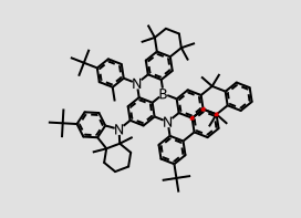 Cc1cc(C(C)(C)C)ccc1N1c2cc3c(cc2B2c4cc5c(cc4N(c4ccc(C(C)(C)C)cc4-c4ccccc4)c4cc(N6c7ccc(C(C)(C)C)cc7C7(C)CCCCC67C)cc1c42)C(C)(C)c1ccccc1C5(C)C)C(C)(C)CCC3(C)C